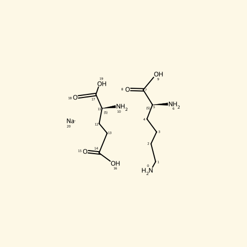 NCCCC[C@H](N)C(=O)O.N[C@@H](CCC(=O)O)C(=O)O.[Na]